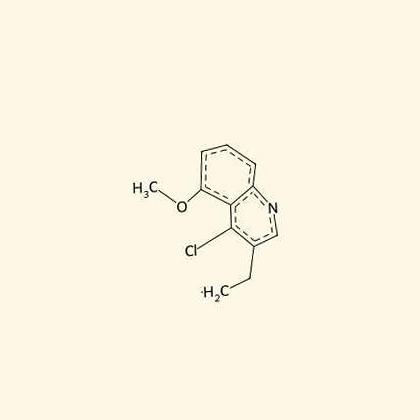 [CH2]Cc1cnc2cccc(OC)c2c1Cl